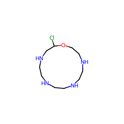 ClC1CNCCNCCNCCNCCO1